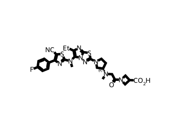 CCc1nc2sc(N3CC[C@@H](N(C)CC(=O)N4CC(C(=O)O)C4)C3)nn2c1N(C)c1nc(-c2ccc(F)cc2)c(C#N)s1